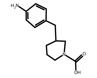 Nc1ccc(CC2CCCN(C(=O)O)C2)cc1